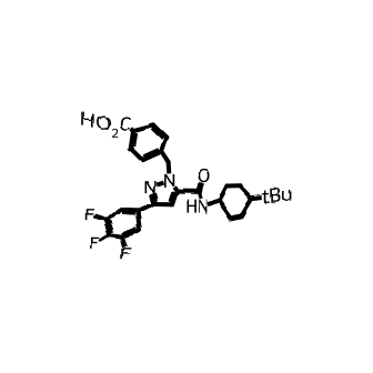 CC(C)(C)C1CCC(NC(=O)c2cc(-c3cc(F)c(F)c(F)c3)nn2Cc2ccc(C(=O)O)cc2)CC1